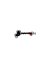 O=C(O)CCCCCCCCCCNc1ccc([N+](=O)[O-])cc1[N+](=O)[O-]